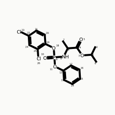 CC(C)OC(=O)C(C)NP(=O)(Oc1ccccc1)Oc1ccc(Cl)cc1Cl